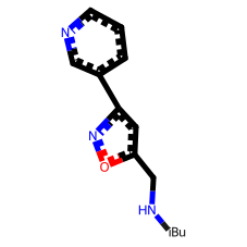 CCC(C)NCc1cc(-c2cccnc2)no1